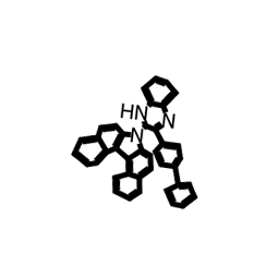 c1ccc(-c2ccc(C3=Nc4ccccc4NC3n3c4ccc5ccccc5c4c4c5ccccc5ccc43)cc2)cc1